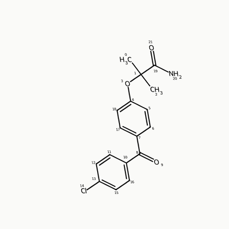 CC(C)(Oc1ccc(C(=O)c2ccc(Cl)cc2)cc1)C(N)=O